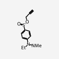 C#CCO[S@@](=O)c1ccc(N(CC)NC)cc1